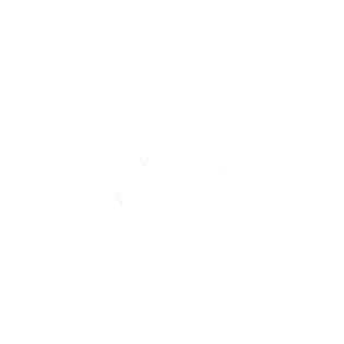 C=NC(C#N)CCS